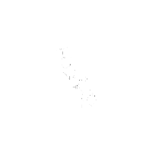 O=C(N[C@@H]1C[C@@H]2CCN(C2)C1)c1cc2cc(C(=O)C(F)(F)F)oc2cn1